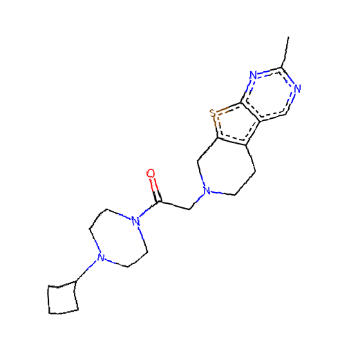 Cc1ncc2c3c(sc2n1)CN(CC(=O)N1CCN(C2CCC2)CC1)CC3